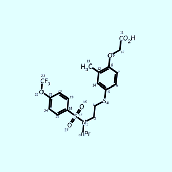 CCCN(CCSc1ccc(OCC(=O)O)c(C)c1)S(=O)(=O)c1ccc(OC(F)(F)F)cc1